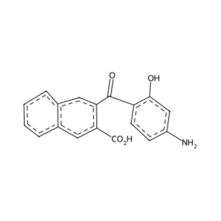 Nc1ccc(C(=O)c2cc3ccccc3cc2C(=O)O)c(O)c1